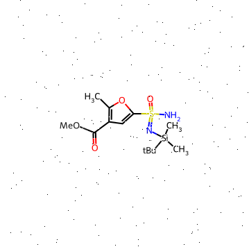 COC(=O)c1cc(S(N)(=O)=N[Si](C)(C)C(C)(C)C)oc1C